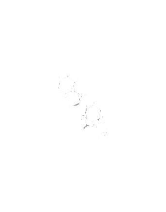 CON1C(=O)N2C[C@H]1CC[C@H]2C(=O)NN1CCOCC1